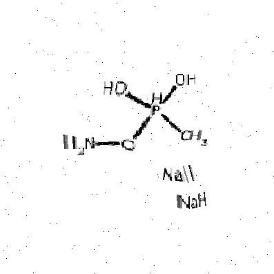 C[PH](O)(O)ON.[NaH].[NaH]